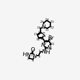 O=C1NCCN1CCNc1ncc(Br)c(-c2ccc(CN3CCCCC3)s2)n1